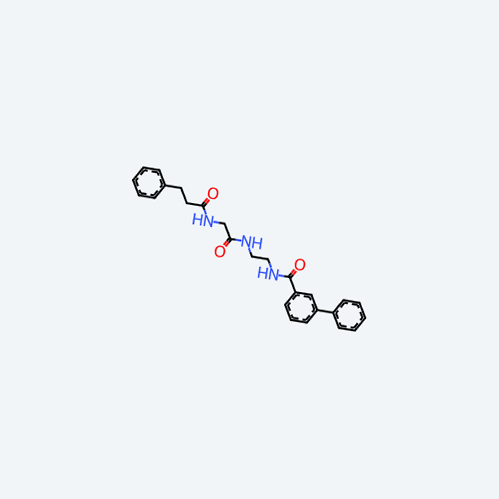 O=C(CCc1ccccc1)NCC(=O)NCCNC(=O)c1cccc(-c2ccccc2)c1